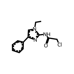 CCn1cc(-c2ccccc2)nc1NC(=O)CCl